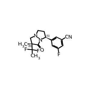 CC(F)(F)[C@]1(C)CN2CC[C@@H](c3cc(F)cc(C#N)c3)N2C1=O